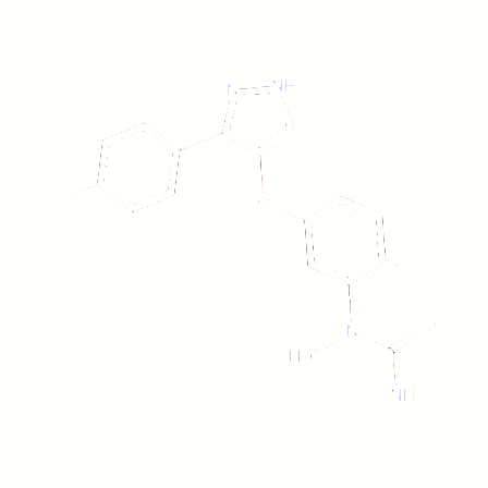 CN(C(N)=O)c1cc(Oc2c[nH]nc2-c2ccc(F)cc2)ccc1F